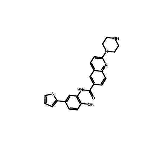 O=C(Nc1cc(-c2cccs2)ccc1O)c1ccc2nc(N3CCNCC3)ccc2c1